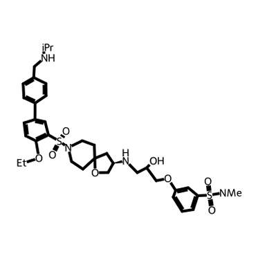 CCOc1ccc(-c2ccc(CNC(C)C)cc2)cc1S(=O)(=O)N1CCC2(CC1)C[C@@H](NCC(O)COc1cccc(S(=O)(=O)NC)c1)CO2